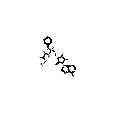 C=C1[C@@H](n2cnc3c(N)ncnc32)[C@H](F)C(O)[C@H]1COP(=O)(N[C@H](C)C(=O)OC)Oc1ccccc1